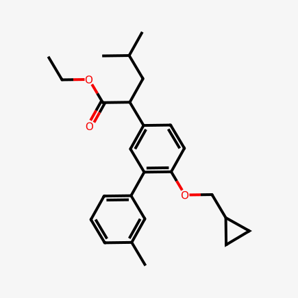 CCOC(=O)C(CC(C)C)c1ccc(OCC2CC2)c(-c2cccc(C)c2)c1